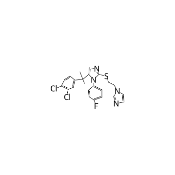 CC(C)(c1ccc(Cl)c(Cl)c1)c1cnc(SCCn2ccnc2)n1-c1ccc(F)cc1